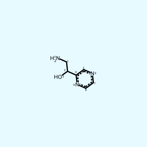 NCC(O)c1cnccn1